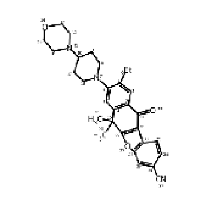 CCc1cc2c(cc1N1CCC(N3CCOCC3)CC1)C(C)(C)c1oc3cc(C#N)ccc3c1C2=O